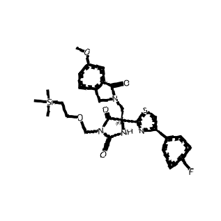 COc1ccc2c(c1)C(=O)N(C[C@@]1(c3nc(-c4ccc(F)cc4)cs3)NC(=O)N(COCC[Si](C)(C)C)C1=O)C2